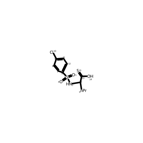 CCCC(NS(=O)(=O)c1ccc(Cl)cc1)C(O)=S